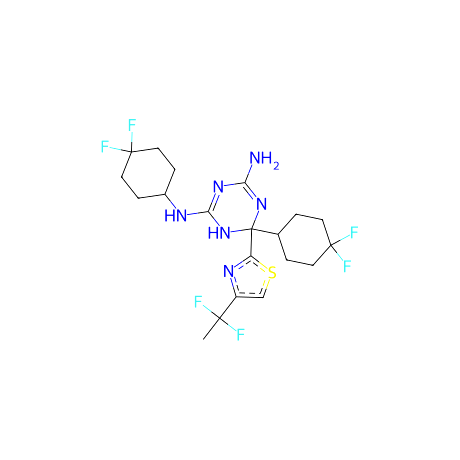 CC(F)(F)c1csc(C2(C3CCC(F)(F)CC3)N=C(N)N=C(NC3CCC(F)(F)CC3)N2)n1